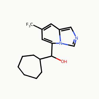 OC(c1cc(C(F)(F)F)cc2cncn12)C1CCCCCC1